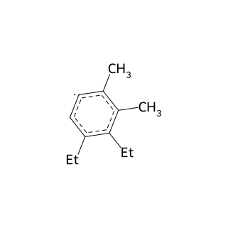 CCc1c[c]c(C)c(C)c1CC